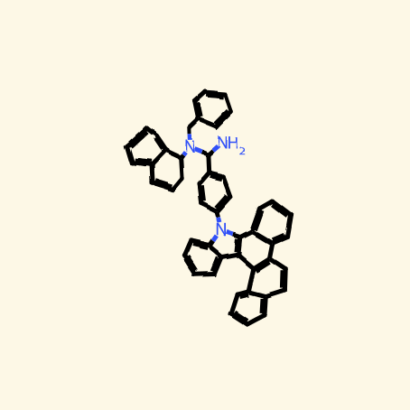 NC(c1ccc(-n2c3ccccc3c3c4c5ccccc5ccc4c4ccccc4c32)cc1)N(Cc1ccccc1)C1CC=Cc2ccccc21